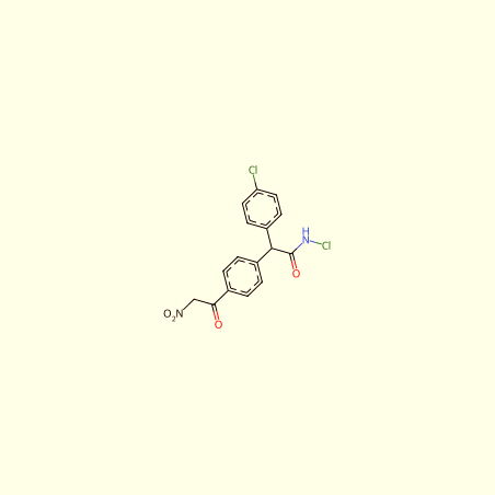 O=C(C[N+](=O)[O-])c1ccc(C(C(=O)NCl)c2ccc(Cl)cc2)cc1